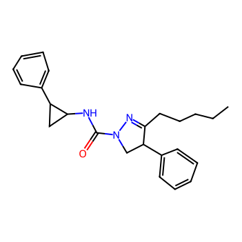 CCCCCC1=NN(C(=O)NC2CC2c2ccccc2)CC1c1ccccc1